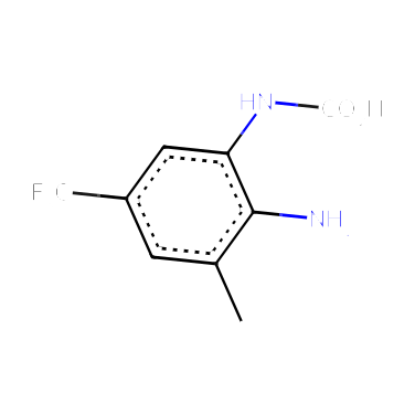 Cc1cc(C(F)(F)F)cc(NC(=O)O)c1N